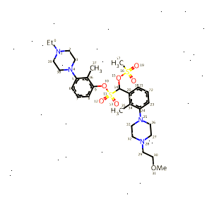 CCN1CCN(c2cccc(OS(=O)(=O)C(OS(C)(=O)=O)c3cccc(N4CCN(CCOC)CC4)c3C)c2C)CC1